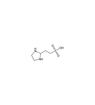 O=S(=O)(O)CCC1NCCN1